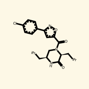 CC(C)C[C@H]1CN(C(=O)c2cc(-c3ccc(Cl)cc3)no2)[C@@H](CC(C)C)C(=O)N1